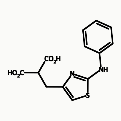 O=C(O)C(Cc1csc(Nc2ccccc2)n1)C(=O)O